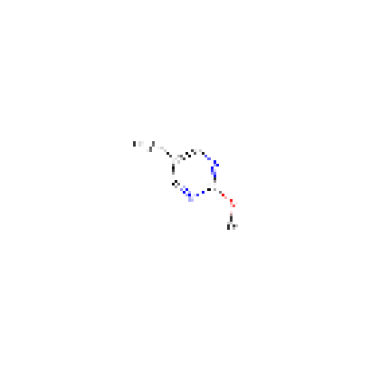 CCOc1ncc(C(=O)O)cn1